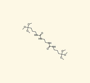 COC(CCCNC(=O)NCCNC(=O)NCCCC(OC)(OC)OC)(OC)OC